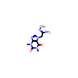 CC(=O)ON=C(N)Cn1cnc2c1c(=O)n(C)c(=O)n2C